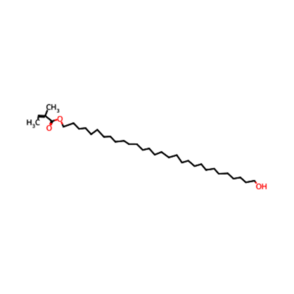 CC=C(C)C(=O)OCCCCCCCCCCCCCCCCCCCCCCCCCCCCCCO